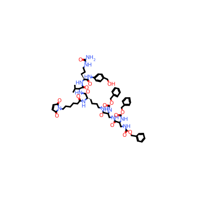 CC(C)[C@H](NC(=O)[C@H](CCCCNC(=O)C(CNC(=O)C(CNC(=O)OCc1ccccc1)NC(=O)OCc1ccccc1)NC(=O)OCc1ccccc1)NC(=O)CCCCCN1C(=O)C=CC1=O)C(=O)N[C@@H](CCCNC(N)=O)C(=O)Nc1ccc(CO)cc1